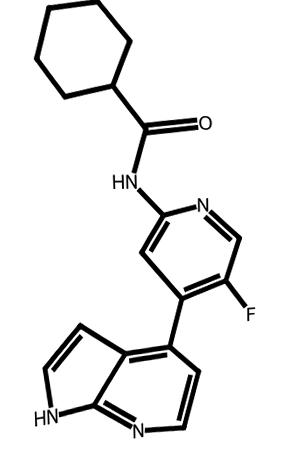 O=C(Nc1cc(-c2ccnc3[nH]ccc23)c(F)cn1)C1CCCCC1